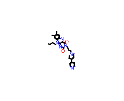 CCCCn1c2nc(=O)n(CCC[n+]3ccc(-c4cc[n+](C)cc4)cc3)c(=O)c-2nc2cc(C)c(C)cc21